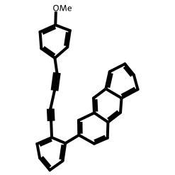 COc1ccc(C#CC#Cc2ccccc2-c2ccc3cc4ccccc4cc3c2)cc1